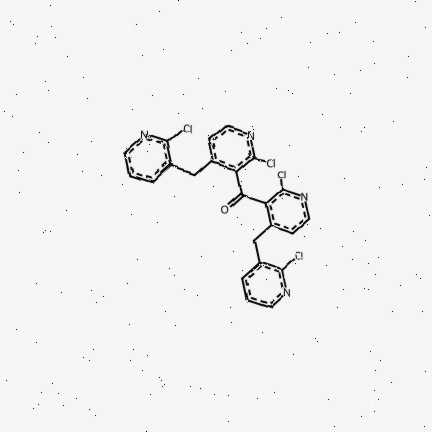 O=C(c1c(Cc2cccnc2Cl)ccnc1Cl)c1c(Cc2cccnc2Cl)ccnc1Cl